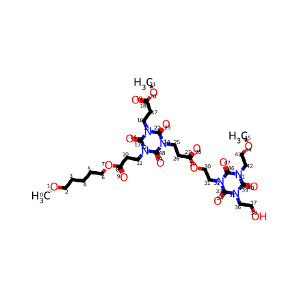 COCCCCCOC(=O)CCn1c(=O)n(CCC(=O)OC)c(=O)n(CCC(=O)OCCn2c(=O)n(CCO)c(=O)n(CCOC)c2=O)c1=O